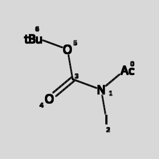 CC(=O)N(I)C(=O)OC(C)(C)C